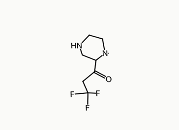 O=C(CC(F)(F)F)C1CNCC[N]1